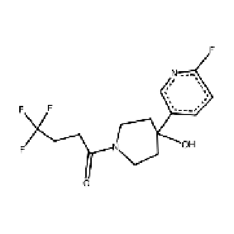 O=C(CCC(F)(F)F)N1CCC(O)(c2ccc(F)nc2)CC1